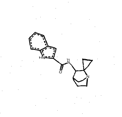 O=C(NC1C2CCN(CC2)C12CC2)c1cc2ccccc2[nH]1